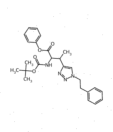 CC(c1cn(CCc2ccccc2)nn1)C(NC(=O)OC(C)(C)C)C(=O)Oc1ccccc1